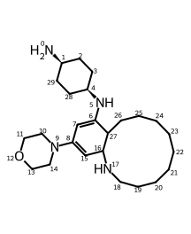 N[C@H]1CC[C@@H](NC2=CC(N3CCOCC3)=CC3NCCCCCCCCCC23)CC1